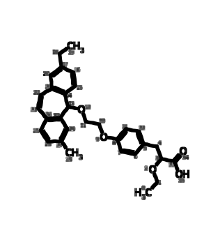 CCOC(Cc1ccc(OCCOC2c3ccc(CC)cc3C=Cc3ccc(C)cc32)cc1)C(=O)O